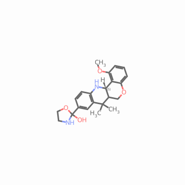 COc1cccc2c1[C@H]1Nc3ccc(C4(O)NCCO4)cc3C(C)(C)C1CO2